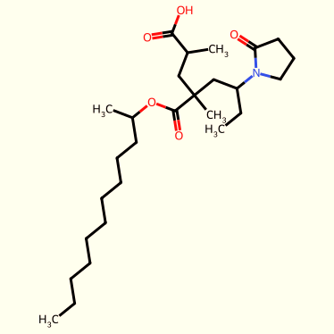 CCCCCCCCCCC(C)OC(=O)C(C)(CC(C)C(=O)O)CC(CC)N1CCCC1=O